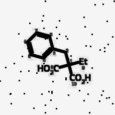 CCC(Cc1ccccc1)(C(=O)O)C(=O)O